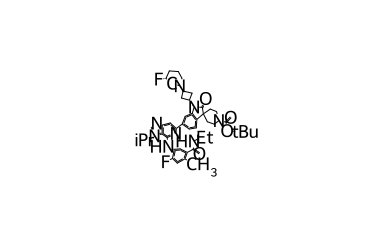 CCNC(=O)c1cc(Nc2nc(-c3ccc4c(c3)N([C@H]3C[C@@H](N5CCC[C@@H](F)C5)C3)C(=O)C43CCN(C(=O)OC(C)(C)C)CC3)cc3ncn(C(C)C)c23)c(F)cc1C